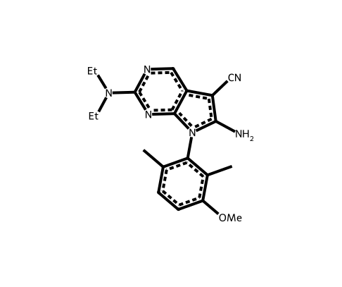 CCN(CC)c1ncc2c(C#N)c(N)n(-c3c(C)ccc(OC)c3C)c2n1